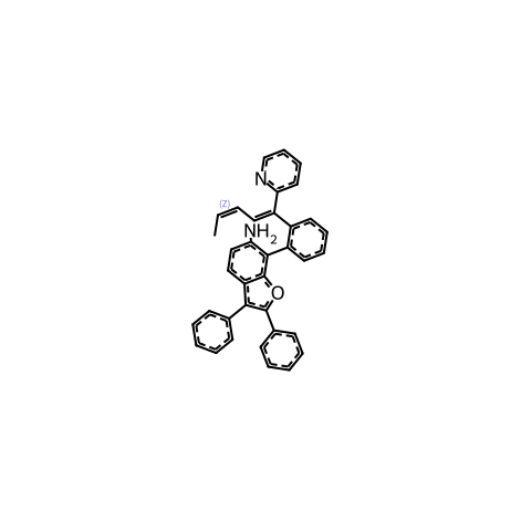 C/C=C\C=C(c1ccccn1)c1ccccc1-c1c(N)ccc2c(-c3ccccc3)c(-c3ccccc3)oc12